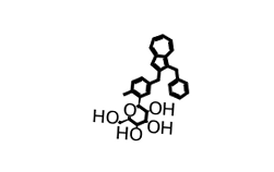 Cc1ccc(Cc2cc3cccccc-3c2Cc2ccccc2)cc1[C@@H]1O[C@H](CO)[C@@H](O)[C@H](O)[C@H]1O